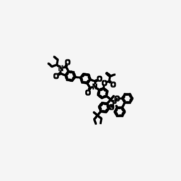 C=C(C)C(=O)Oc1cc(C(C)(c2ccc(C(C)(CC)CC)cc2)P2(=O)Oc3ccccc3-c3ccccc32)ccc1N1C(=O)c2ccc(-c3ccc4c(c3)C(=O)N(C(CC)CC)C4=O)cc2C1=O